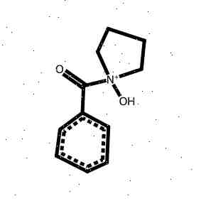 O=C(c1ccccc1)[N+]1(O)CCCC1